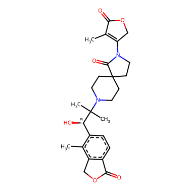 CC1=C(N2CCC3(CCN(C(C)(C)[C@H](O)c4ccc5c(c4C)COC5=O)CC3)C2=O)COC1=O